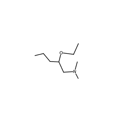 CCCC(CN(C)C)OCC